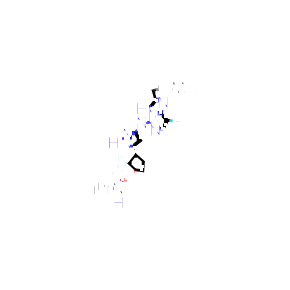 COCc1cn2c(Nc3cc([C@H]4CC[C@@H](OC(=O)NC(C)C)[C@H]4F)[nH]n3)ncc(F)c2n1